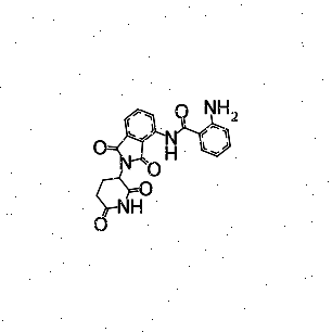 Nc1ccccc1C(=O)Nc1cccc2c1C(=O)N(C1CCC(=O)NC1=O)C2=O